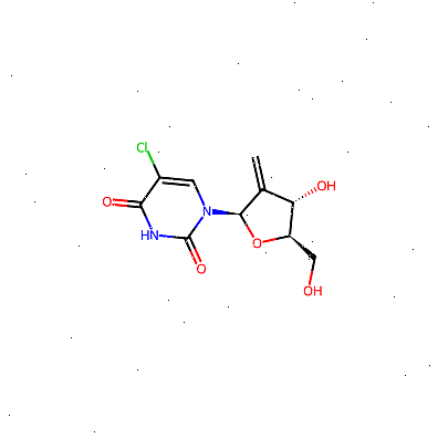 C=C1[C@H](n2cc(Cl)c(=O)[nH]c2=O)O[C@H](CO)[C@H]1O